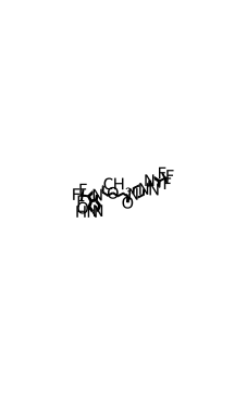 CCC(COCCC(=O)N1CCN(c2ncc(C(F)(F)F)cn2)CC1)n1cc(C(F)(F)F)c2c(=O)[nH]ncc21